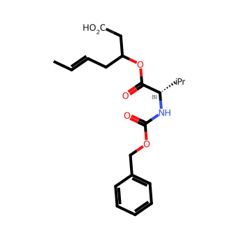 CC=CCC(CC(=O)O)OC(=O)[C@@H](NC(=O)OCc1ccccc1)C(C)C